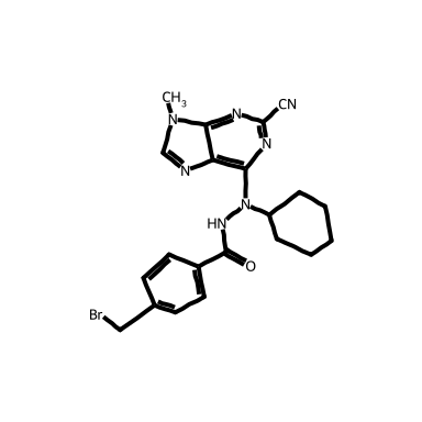 Cn1cnc2c(N(NC(=O)c3ccc(CBr)cc3)C3CCCCC3)nc(C#N)nc21